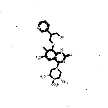 C[C@@H]1CN(c2nc(=O)[nH]c3c(SCC(CO)c4cccnc4)c(Cl)c(C(F)(F)F)cc23)C[C@H](C)N1C(=O)O